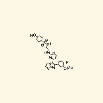 COc1cc(-c2nc3sccn3c2-c2ccnc(NCCNS(=O)(=O)c3ccc(O)cc3)n2)ccc1F